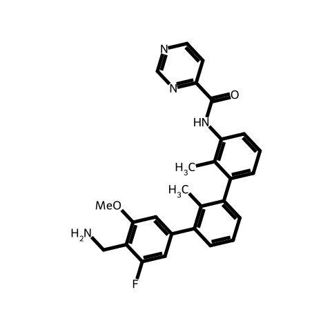 COc1cc(-c2cccc(-c3cccc(NC(=O)c4ccncn4)c3C)c2C)cc(F)c1CN